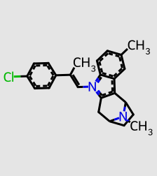 C/C(=C\n1c2c(c3cc(C)ccc31)C1CCC(C2)N1C)c1ccc(Cl)cc1